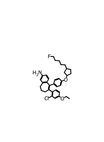 CCOc1ccc(C2=C(c3ccc(OC4CCC(CCCCCF)C4)cc3)c3ccc(N)cc3CCC2)c(Cl)c1